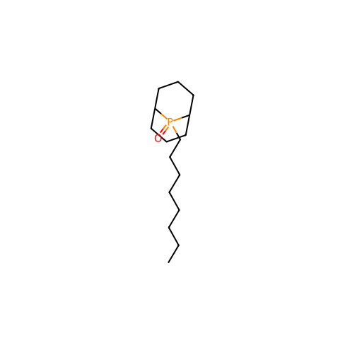 CCCCCCCCP1(=O)C2CCCC1CCC2